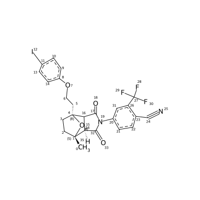 C[C@@]12CC[C@](CCOc3ccc(I)cc3)(O1)C1C(=O)N(c3ccc(C#N)c(C(F)(F)F)c3)C(=O)[C@H]12